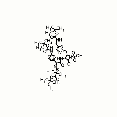 CC(C)(C)OC(=O)NCc1nnn(C[C@@H]2[C@H](NC(=O)/C(=N\OC(C)(C)C(=O)OC(C)(C)C)c3csc(NC(=O)OC(C)(C)C)n3)C(=O)N2S(=O)(=O)O)n1